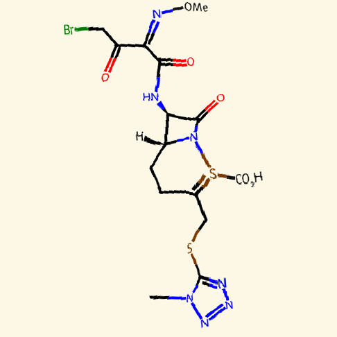 CO/N=C(/C(=O)CBr)C(=O)N[C@H]1C(=O)N2[C@@H]1CCC(CSc1nnnn1C)=S2C(=O)O